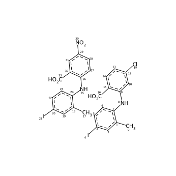 Cc1cc(I)ccc1Nc1cc(Cl)ccc1C(=O)O.Cc1cc(I)ccc1Nc1ccc([N+](=O)[O-])cc1C(=O)O